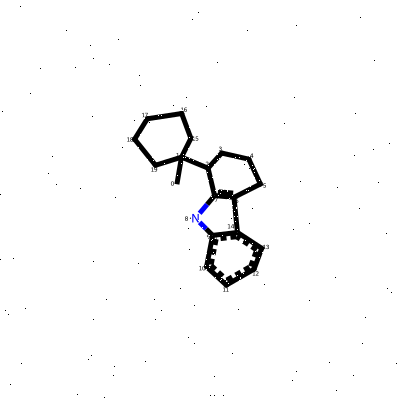 CC1(C2CCCC3=C2[N]c2ccccc23)CCCCC1